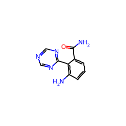 NC(=O)c1cccc(N)c1-c1ncncn1